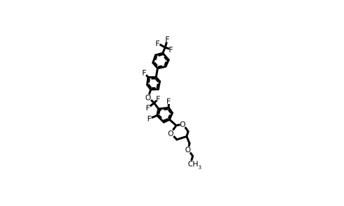 CCOCC1COC(c2cc(F)c(C(F)(F)Oc3ccc(-c4ccc(C(F)(F)F)cc4)c(F)c3)c(F)c2)OC1